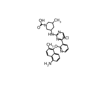 Cc1ccc2c(N)cccc2c1Oc1ncccc1-c1ccnc(NC2CC(C)CN(C(=O)O)C2)n1.Cl